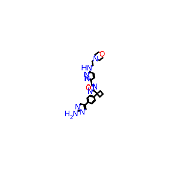 Nc1ncc(-c2ccc(C3(c4noc(-c5ccc(NCCN6CCOCC6)nn5)n4)CCC3)cc2)cn1